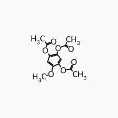 COc1cc(OC(C)=O)c(OC(C)=O)cc1OC(C)=O